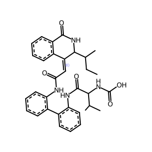 CCC(C)C1NC(=O)c2ccccc2/C1=C\C(=O)Nc1ccccc1-c1ccccc1NC(=O)C(NC(=O)O)C(C)C